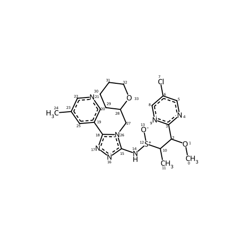 COC(c1ncc(Cl)cn1)C(C)[S+]([O-])Nc1nnc(-c2cncc(C)c2)n1CC1CCCCO1